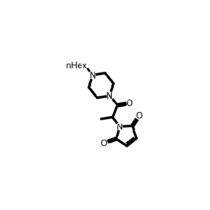 CCCCCCN1CCN(C(=O)C(C)N2C(=O)C=CC2=O)CC1